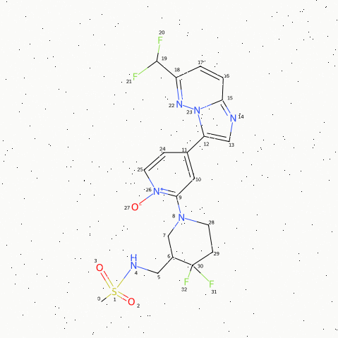 CS(=O)(=O)NCC1CN(c2cc(-c3cnc4ccc(C(F)F)nn34)cc[n+]2[O-])CCC1(F)F